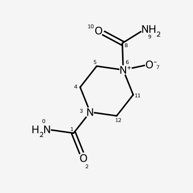 NC(=O)N1CC[N+]([O-])(C(N)=O)CC1